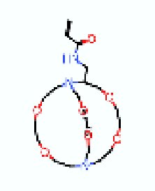 C=CC(=O)NCC1COCCOCCN2CCOCCOCCN1CCOCCOCC2